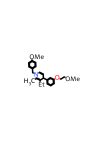 CCC1=C(C)N(Cc2ccc(OC)cc2)C=CC1c1cccc(OCCOC)c1